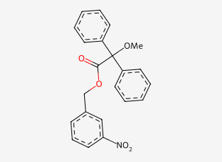 COC(C(=O)OCc1cccc([N+](=O)[O-])c1)(c1ccccc1)c1ccccc1